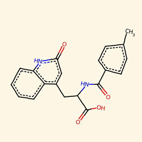 Cc1ccc(C(=O)NC(Cc2cc(=O)[nH]c3ccccc23)C(=O)O)cc1